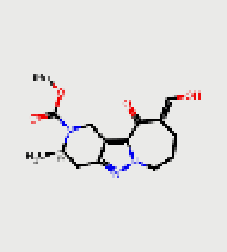 C[C@@H]1Cc2nn3c(c2CN1C(=O)OC(C)(C)C)C(=O)C(=CO)CCC3